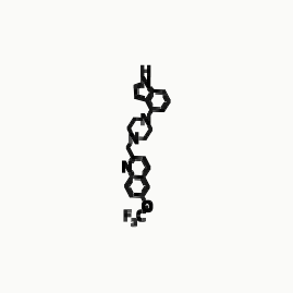 FC(F)(F)Oc1ccc2nc(CN3CCN(c4cccc5[nH]ccc45)CC3)ccc2c1